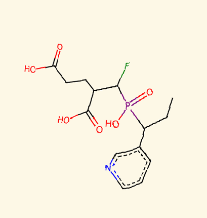 CCC(c1cccnc1)P(=O)(O)C(F)C(CCC(=O)O)C(=O)O